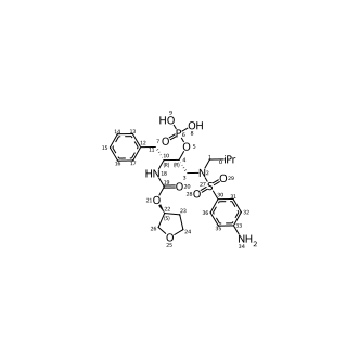 CC(C)CN(C[C@@H](OP(=O)(O)O)[C@@H](Cc1ccccc1)NC(=O)O[C@H]1CCOC1)S(=O)(=O)c1ccc(N)cc1